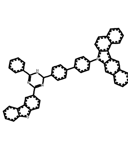 c1ccc(C2=NC(c3ccc4oc5ccccc5c4c3)=NC(c3ccc(-c4ccc(-n5c6cc7ccccc7cc6c6c7ccccc7ccc65)cc4)cc3)N2)cc1